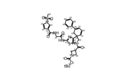 CC(C)(C)OC(=O)N1CC(C(=O)NCC2(c3csc(NC(=O)CNC(=O)c4ccn(S(C)(=O)=O)c4)n3)C=CC=C(c3ccccc3)C2)C1